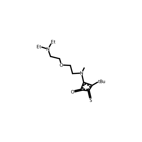 CCN(CC)CCOCCN(C)c1c(C(C)(C)C)c(=S)c1=O